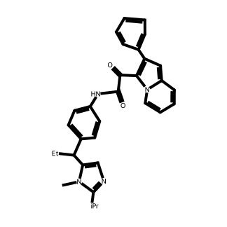 CCC(c1ccc(NC(=O)C(=O)c2c(-c3ccccc3)cc3ccccn23)cc1)c1cnc(C(C)C)n1C